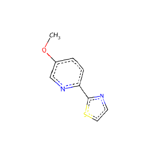 COc1ccc(-c2nccs2)nc1